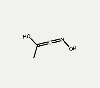 CC(O)=C=NO